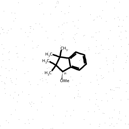 CO[C@H]1c2ccccc2C(C)(C)C1(C)C